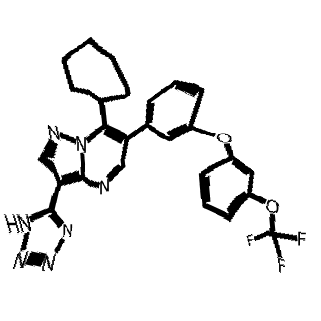 FC(F)(F)Oc1cccc(Oc2cccc(-c3cnc4c(-c5nnn[nH]5)cnn4c3C3CCCCC3)c2)c1